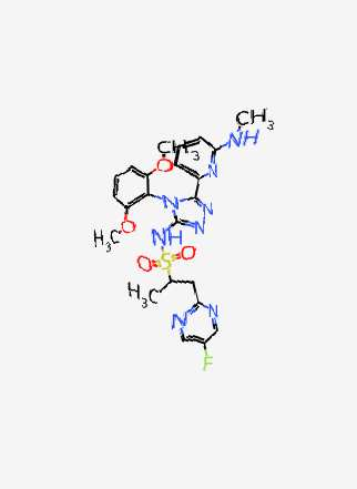 CNc1cccc(-c2nnc(NS(=O)(=O)C(C)Cc3ncc(F)cn3)n2-c2c(OC)cccc2OC)n1